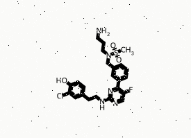 CS(=O)(=O)N(CCCN)Cc1cccc(-c2nc(NCCc3ccc(O)c(Cl)c3)ncc2F)c1